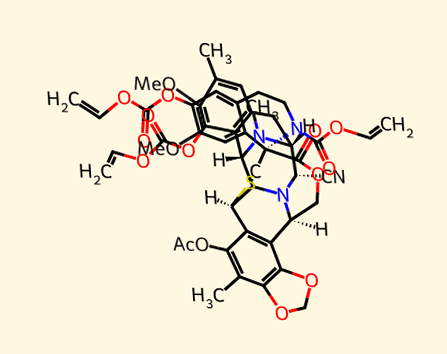 C=COC(=O)Oc1cc2c(cc1OC)[C@@]1(CS[C@@H]3c4c(OC(C)=O)c(C)c5c(c4[C@H](COC1=O)N1C3[C@@H]3c4c(cc(C)c(OC)c4OC(=O)OC=C)C[C@H]([C@@H]1C#N)N3C)OCO5)N(C(=O)OC=C)CC2